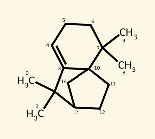 CC1(C)C2=CCCC(C)(C)C23CCC1C3